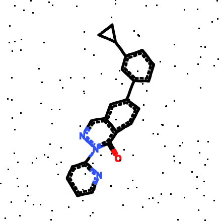 O=c1c2ccc(-c3cccc(C4CC4)c3)cc2cnn1-c1ccccn1